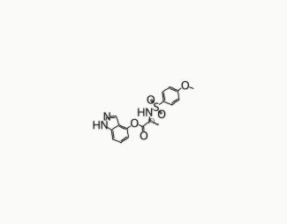 COc1ccc(S(=O)(=O)N[C@@H](C)C(=O)Oc2cccc3[nH]ncc23)cc1